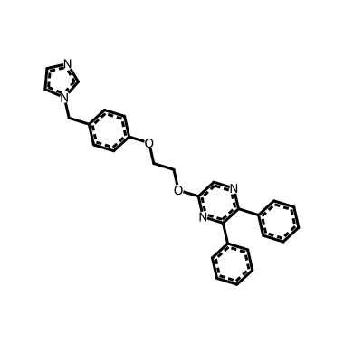 c1ccc(-c2ncc(OCCOc3ccc(Cn4ccnc4)cc3)nc2-c2ccccc2)cc1